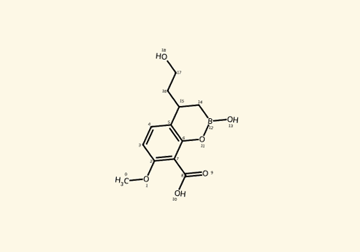 COc1ccc2c(c1C(=O)O)OB(O)CC2CCO